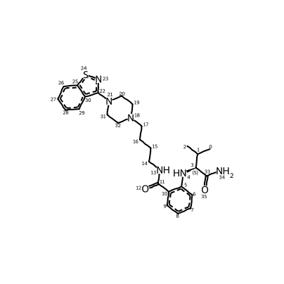 CC(C)[C@H](Nc1ccccc1C(=O)NCCCCN1CCN(c2nsc3ccccc23)CC1)C(N)=O